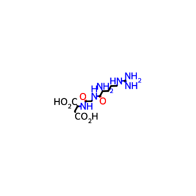 N=C(N)NCCC[C@@H](N)C(=O)NCC(=O)N[C@@H](CC(=O)O)C(=O)O